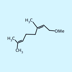 COCC=C(C)CCC=C(C)C